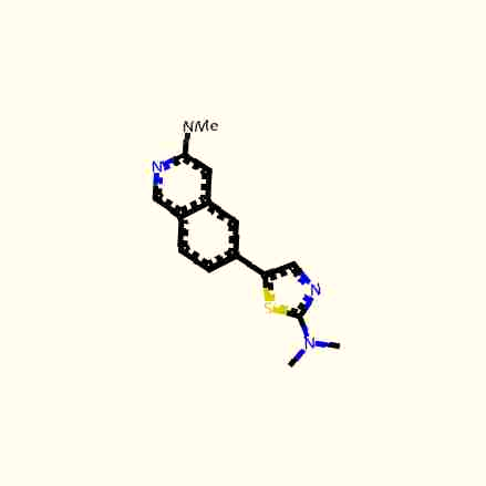 CNc1cc2cc(-c3cnc(N(C)C)s3)ccc2cn1